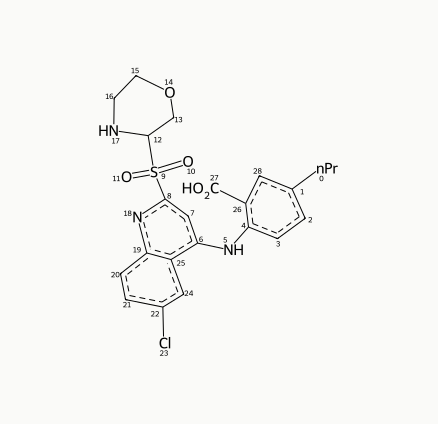 CCCc1ccc(Nc2cc(S(=O)(=O)C3COCCN3)nc3ccc(Cl)cc23)c(C(=O)O)c1